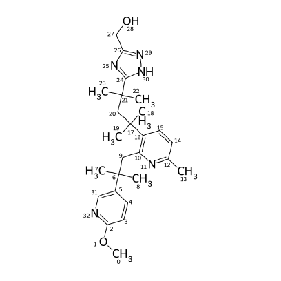 COc1ccc(C(C)(C)Cc2nc(C)ccc2C(C)(C)CC(C)(C)c2nc(CO)n[nH]2)cn1